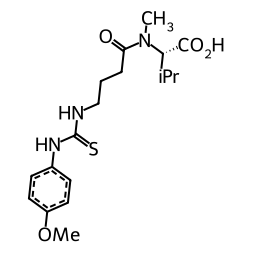 COc1ccc(NC(=S)NCCCC(=O)N(C)[C@H](C(=O)O)C(C)C)cc1